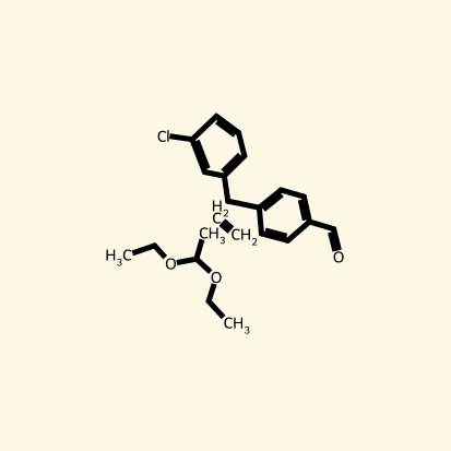 C=C.CCOC(C)OCC.O=Cc1ccc(Cc2cccc(Cl)c2)cc1